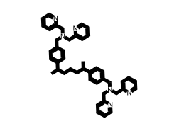 CC(CCCC(C)c1ccc(CN(Cc2ccccn2)Cc2ccccn2)cc1)c1ccc(CN(Cc2ccccn2)Cc2ccccn2)cc1